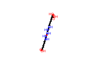 O=C(O)CCCCCCCCCCNCCNCCNCCNCCNCCCCCCCCCC(CC(=O)O)C(=O)O